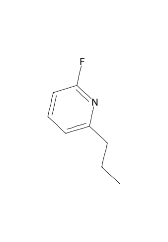 CCCc1cccc(F)n1